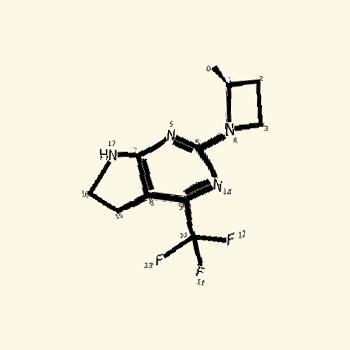 C[C@H]1CCN1c1nc2c(c(C(F)(F)F)n1)CCN2